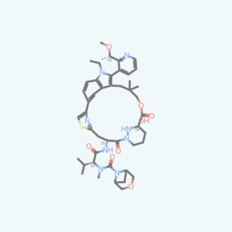 CCn1c(-c2cccnc2[C@H](C)OC)c2c3cc(ccc31)-c1csc(n1)C[C@H](NC(=O)[C@H](C(C)C)N(C)C(=O)N1C3COCC1C3)C(=O)N1CCC[C@@](O)(N1)C(=O)OCC(C)(C)C2